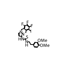 COc1ccc(CCNC(=S)Nc2ccn(Cc3c(C)c(I)c(F)c(F)c3F)n2)cc1OC